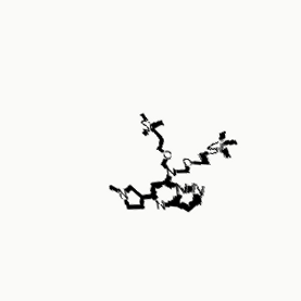 CN1CCC(c2cc(N(COCC[Si](C)(C)C)COCC[Si](C)(C)C)n3nccc3n2)C1